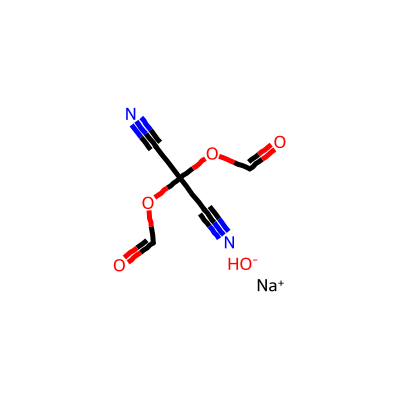 N#CC(C#N)(OC=O)OC=O.[Na+].[OH-]